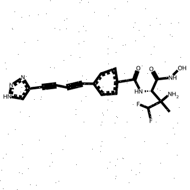 CC(N)(C(F)F)[C@H](NC(=O)c1ccc(C#CC#Cc2c[nH]nn2)cc1)C(=O)NO